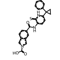 O=C(Nc1ccc(C2(c3ccccc3)CC2)[nH]c1=S)c1ccc2cn(C(=O)O)cc2c1